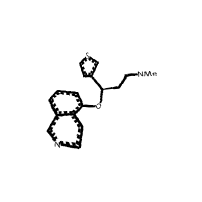 CNCC[C@@H](Oc1cccc2cnccc12)c1ccsc1